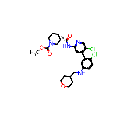 COC(=O)N1CCC[C@H](C(=O)Nc2cc(-c3cc(NCC4CCOCC4)ccc3Cl)c(Cl)cn2)C1